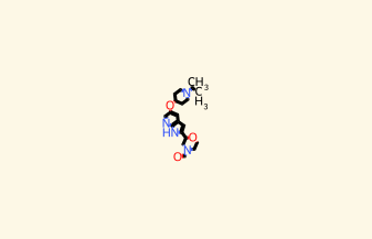 CC(C)N1CCC(Oc2cnc3[nH]c(C4CN(C=O)CCO4)cc3c2)CC1